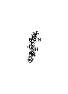 N#Cc1cc(-c2ccnc(Nc3cnc(N4CCOCC4)nc3)n2)cnc1N1CC[C@H](F)C1